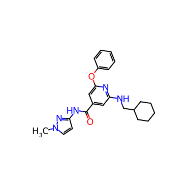 Cn1ccc(NC(=O)c2cc(NCC3CCCCC3)nc(Oc3ccccc3)c2)n1